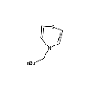 CCCCCN1C=CSC=C1